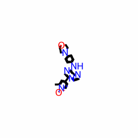 Cc1cc(-c2cnc(Nc3ccc(N4CCOCC4)cc3)c3nccn23)cc[n+]1[O-]